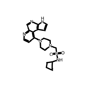 O=S(=O)(CN1CCN(c2ccnc3cnc4[nH]ccc4c23)CC1)NC1CCC1